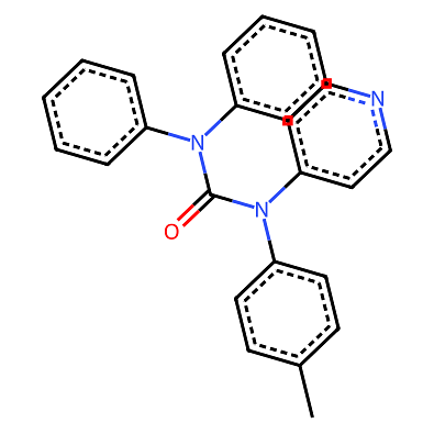 Cc1ccc(N(C(=O)N(c2ccccc2)c2ccccc2)c2ccncc2)cc1